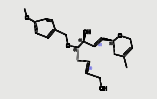 COc1ccc(CO[C@@H](C/C=C/CO)[C@@H](O)/C=C/[C@@H]2CC(C)=CCO2)cc1